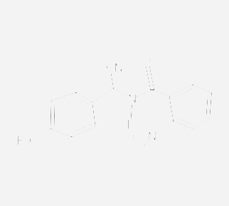 CCN(C(=O)c1ccccc1[N+](=O)[O-])C(C#N)c1ccc(C(F)(F)F)cc1